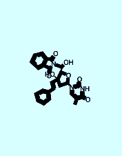 Cc1cn([C@H]2C[C@@](O)(C=Cc3ccccc3)[C@@H](C(O)N3C(=O)c4ccccc4C3=O)O2)c(=O)[nH]c1=O